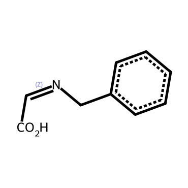 O=C(O)/C=N\Cc1ccccc1